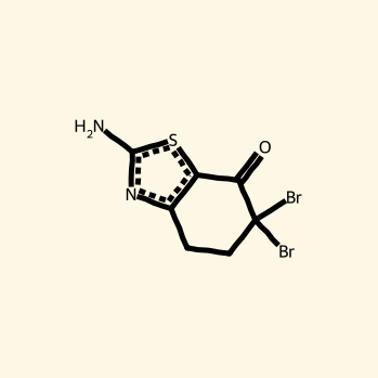 Nc1nc2c(s1)C(=O)C(Br)(Br)CC2